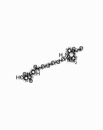 N/C1=C(\N(N)CCOCCOCCOCCOCCOCCNC(=O)c2ccc(-c3cc(=O)c4ccc(O)c(O)c4o3)cc2)c2ccccc2CN(C(=O)CCC=O)c2ccccc21